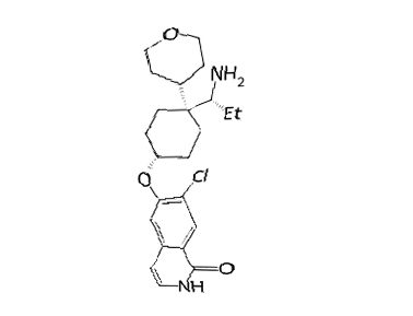 CC[C@@H](N)[C@]1(C2CCOCC2)CC[C@@H](Oc2cc3cc[nH]c(=O)c3cc2Cl)CC1